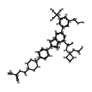 CCOc1cc(-c2cc(N(C)CC3(COC)CCC3)c3[nH]c(-c4cnc(N5CCC(SCC(=O)O)CC5)cn4)nc3n2)cc(C(F)(F)F)n1